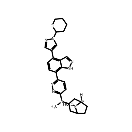 CN(c1ccc(-c2ccc(-c3cnn(C4CCCCO4)c3)c3cn[nH]c23)nn1)C1CC2CC[C@@H](C1)N2C(=O)O